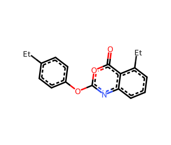 CCc1ccc(Oc2nc3cccc(CC)c3c(=O)o2)cc1